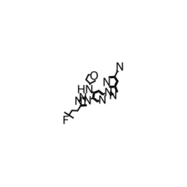 CC(C)(F)CCc1cn(-c2cnc(-n3ncc4cc(C#N)cnc43)cc2NC2CCOC2)nn1